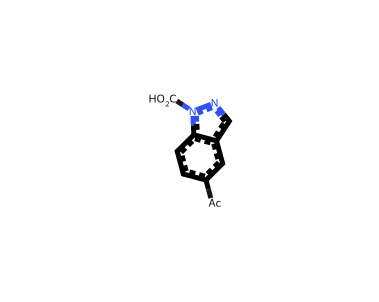 CC(=O)c1ccc2c(cnn2C(=O)O)c1